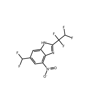 O=[N+]([O-])c1cc(C(F)F)cc2[nH]c(C(F)(F)C(F)F)nc12